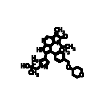 CC(C)n1c(=O)n(C)c2cnc3[nH]c(-c4cnn(CC(C)(C)O)c4)c(-c4ccc(COC5CCOCC5)cc4)c3c21